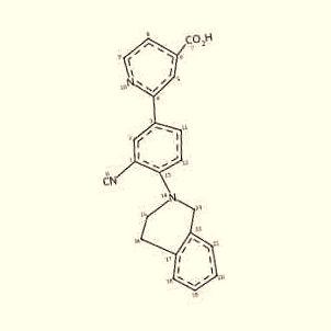 [C-]#[N+]c1cc(-c2cc(C(=O)O)ccn2)ccc1N1CCc2ccccc2C1